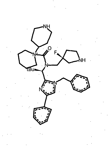 CC(C)(C)[C@H](c1nc(-c2ccccc2)cn1Cc1ccccc1)N(C[C@]1(F)CCNC1)C(=O)[N+]1(C2CCNCC2)CCCCC1